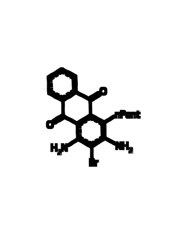 CCCCCc1c(N)c(Br)c(N)c2c1C(=O)c1ccccc1C2=O